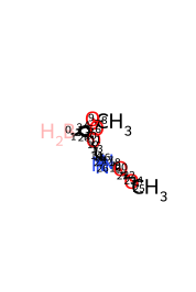 BCc1ccc(OC(C)=O)c(OCCCc2cn(CCOCCOCC)nn2)c1